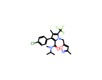 Cc1cc(Cn2c(C(=O)N(C)C(C)C)c(-c3ccc(Cl)cc3)c(C)c2C(F)(F)F)on1